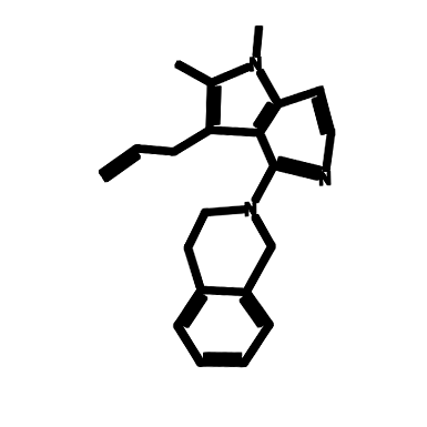 C=CCc1c(C)n(C)c2ccnc(N3CCc4ccccc4C3)c12